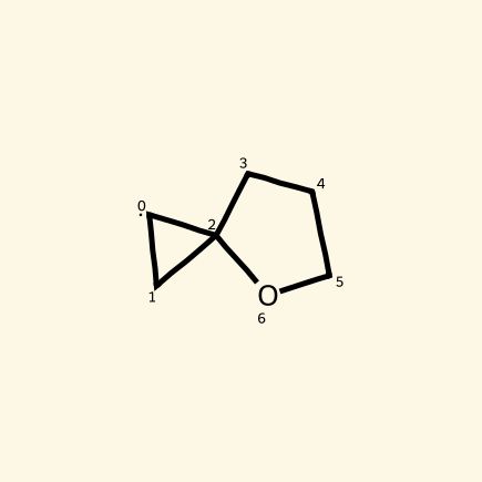 [CH]1CC12CCCO2